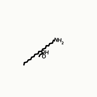 CCC(=O)O.CCCCCCCCCCCCCCCCCCN